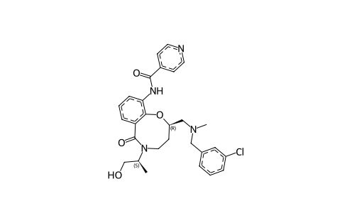 C[C@@H](CO)N1CC[C@H](CN(C)Cc2cccc(Cl)c2)Oc2c(NC(=O)c3ccncc3)cccc2C1=O